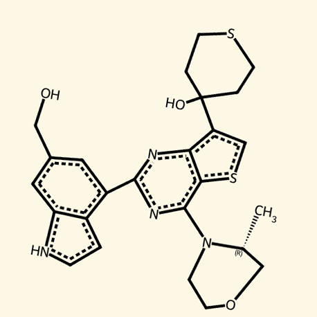 C[C@@H]1COCCN1c1nc(-c2cc(CO)cc3[nH]ccc23)nc2c(C3(O)CCSCC3)csc12